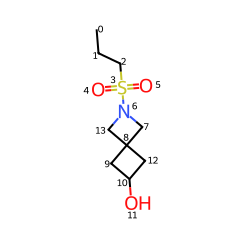 CCCS(=O)(=O)N1CC2(CC(O)C2)C1